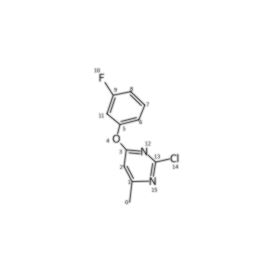 Cc1cc(Oc2cccc(F)c2)nc(Cl)n1